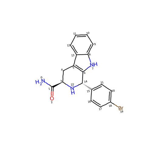 NC(=O)[C@H]1Cc2c([nH]c3ccccc23)[C@H](c2ccc(Br)cc2)N1